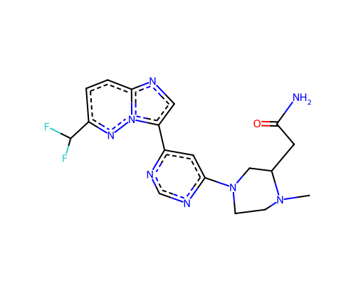 CN1CCN(c2cc(-c3cnc4ccc(C(F)F)nn34)ncn2)CC1CC(N)=O